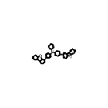 c1ccc(N(c2ccc(-c3ccc4sc5ccccc5c4c3)cc2)c2ccc(-c3cccc4c3oc3ccccc34)cc2)cc1